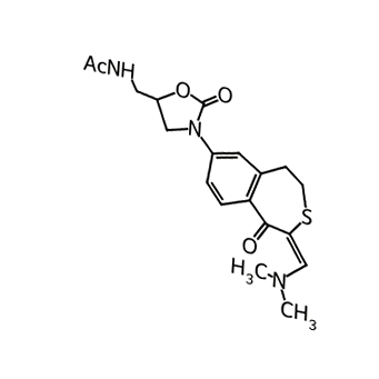 CC(=O)NCC1CN(c2ccc3c(c2)CCSC(=CN(C)C)C3=O)C(=O)O1